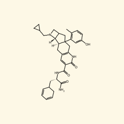 Cc1ccc(O)cc1C12Cc3[nH]c(=O)c(C(=O)N[C@@H](CC4C=CC=CC4)C(N)=O)cc3C[C@H]1[C@H]1C(CN1CC1CC1)C2